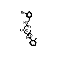 Cc1ccccc1-c1nc(CS(=O)(=O)CC(=O)NCc2cccc(Br)c2)c(C)o1